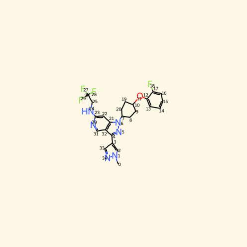 Cn1cc(-c2nn(C3CCC(Oc4ccccc4F)CC3)c3cc(NCC(F)(F)F)ncc23)cn1